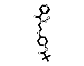 CC(C)(C)C(=O)ON1CCC(OCCN(N=O)C(=O)c2ccncc2)CC1